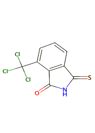 O=C1NC(=S)c2cccc(C(Cl)(Cl)Cl)c21